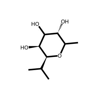 CC1O[C@@H](C(C)C)[C@@H](O)C(O)[C@@H]1O